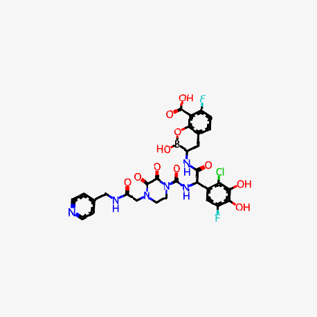 O=C(CN1CCN(C(=O)NC(C(=O)NC2Cc3ccc(F)c(C(=O)O)c3OB2O)c2cc(F)c(O)c(O)c2Cl)C(=O)C1=O)NCc1ccncc1